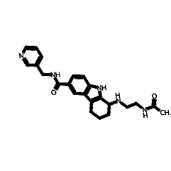 CC(=O)NCCNC1CCCc2c1[nH]c1ccc(C(=O)NCc3cccnc3)cc21